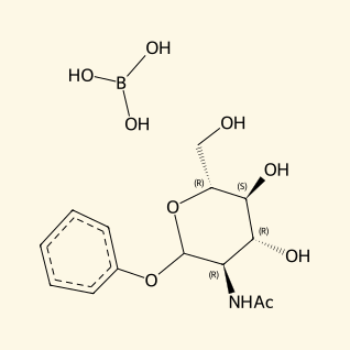 CC(=O)N[C@H]1C(Oc2ccccc2)O[C@H](CO)[C@@H](O)[C@@H]1O.OB(O)O